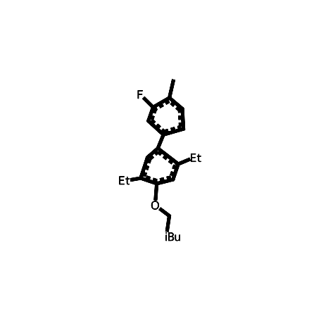 CCc1cc(-c2ccc(C)c(F)c2)c(CC)cc1OCC(C)CC